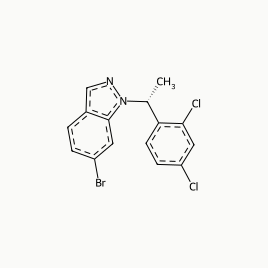 C[C@H](c1ccc(Cl)cc1Cl)n1ncc2ccc(Br)cc21